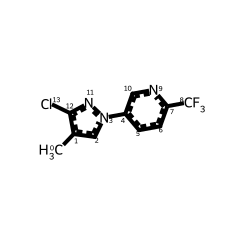 Cc1cn(-c2ccc(C(F)(F)F)nc2)nc1Cl